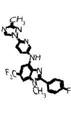 Cc1ncn(-c2ccc(Nc3cc(C(F)(F)F)cc4c3nc(-c3ccc(F)cc3)n4C)cn2)n1